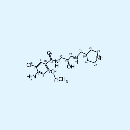 CCOc1cc(N)c(Cl)cc1C(=O)NCC(O)CNCC1CCNCC1